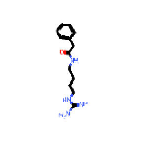 N=C(N)NCCCCNC(=O)Cc1ccccc1